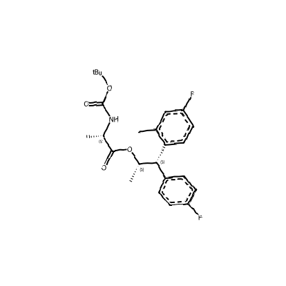 Cc1cc(F)ccc1[C@H](c1ccc(F)cc1)[C@H](C)OC(=O)[C@H](C)NC(=O)OC(C)(C)C